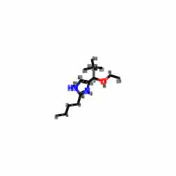 CCCCc1nc(C(OCC)[Si](C)(C)C)c[nH]1